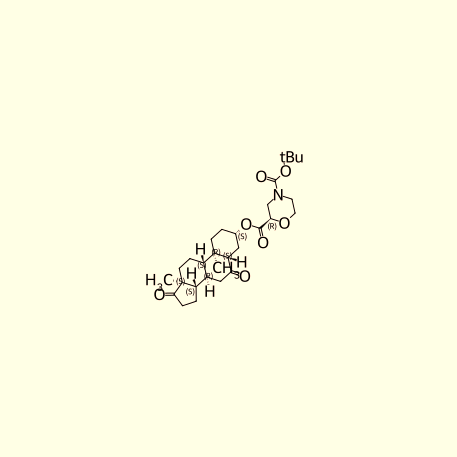 CC(C)(C)OC(=O)N1CCO[C@@H](C(=O)O[C@H]2CC[C@@]3(C)[C@H](C2)C(=O)C[C@@H]2[C@@H]3CC[C@]3(C)C(=O)CC[C@@H]23)C1